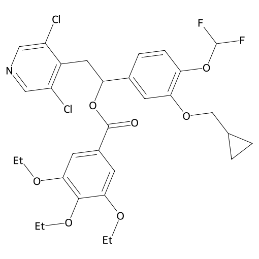 CCOc1cc(C(=O)OC(Cc2c(Cl)cncc2Cl)c2ccc(OC(F)F)c(OCC3CC3)c2)cc(OCC)c1OCC